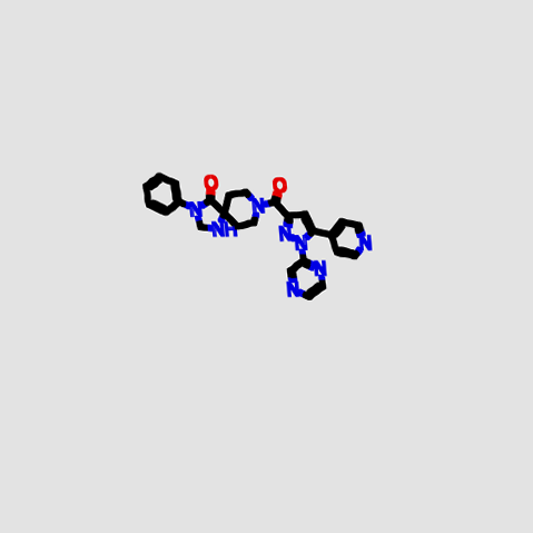 O=C(c1cc(-c2ccncc2)n(-c2cnccn2)n1)N1CCC2(CC1)NCN(c1ccccc1)C2=O